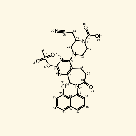 CS(=O)(=O)Oc1nc2c(c(N3CCN(C(=O)O)C(CC#N)C3)n1)CCC(=O)N(c1cccc3cccc(Cl)c13)C2